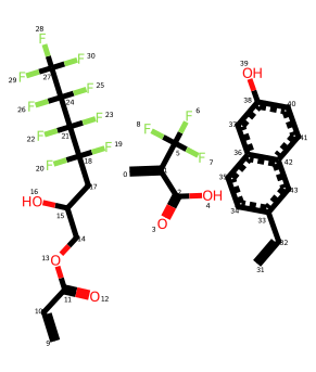 C=C(C(=O)O)C(F)(F)F.C=CC(=O)OCC(O)CC(F)(F)C(F)(F)C(F)(F)C(F)(F)F.C=Cc1ccc2cc(O)ccc2c1